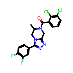 CC1Cn2c(nnc2-c2ccc(F)c(F)c2)CN1C(=O)c1cccc(Cl)c1Cl